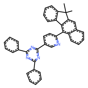 CC1(C)c2ccccc2-c2c1cc1ccccc1c2-c1ccc(-c2nc(-c3ccccc3)nc(-c3ccccc3)n2)cn1